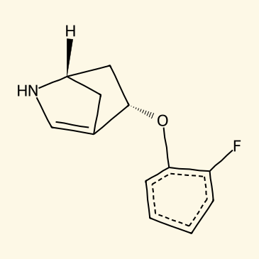 Fc1ccccc1O[C@H]1C[C@@H]2CC1=CN2